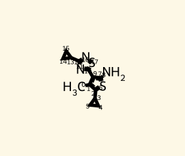 Cc1c(C2CC2)sc(N)c1-c1nc(C2CC2)ns1